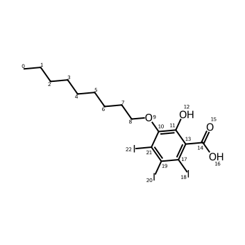 CCCCCCCCCOc1c(O)c(C(=O)O)c(I)c(I)c1I